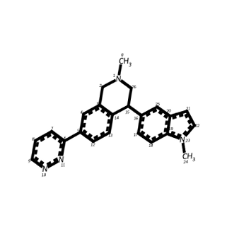 CN1Cc2cc(-c3cccnn3)ccc2C(c2ccc3c(ccn3C)c2)C1